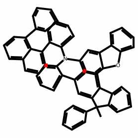 CC1(c2ccccc2)c2ccccc2-c2ccc(-c3ccccc3N(c3ccc4oc5ccccc5c4c3)c3ccccc3-c3cccc4cccc(-c5ccccc5)c34)cc21